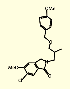 COc1ccc(COCC(C)CN2Cc3cc(OC)c(Cl)cc3C2=O)cc1